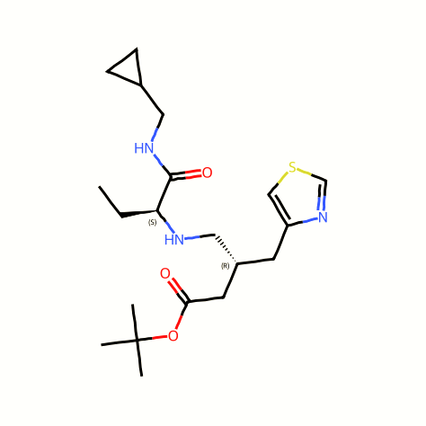 CC[C@H](NC[C@@H](CC(=O)OC(C)(C)C)Cc1cscn1)C(=O)NCC1CC1